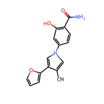 N#Cc1cn(-c2ccc(C(N)=O)c(O)c2)cc1-c1ccco1